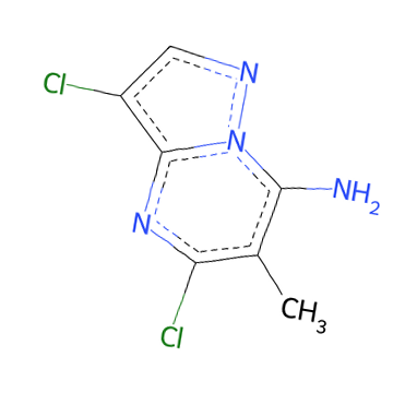 Cc1c(Cl)nc2c(Cl)cnn2c1N